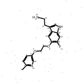 Cc1ccc(OCCOc2cc3c(CCN)c[nH]c3cc2F)cn1